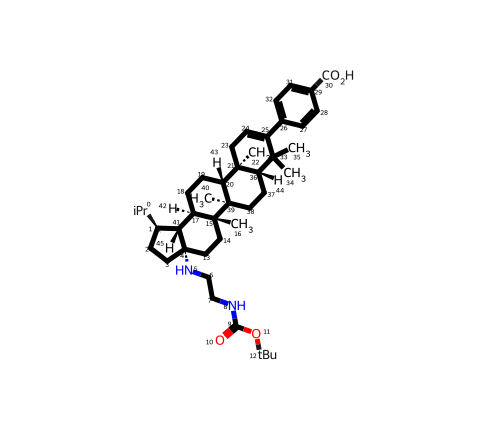 CC(C)[C@@H]1CC[C@]2(NCCNC(=O)OC(C)(C)C)CC[C@]3(C)[C@H](CC[C@@H]4[C@@]5(C)CC=C(c6ccc(C(=O)O)cc6)C(C)(C)[C@@H]5CC[C@]43C)[C@@H]12